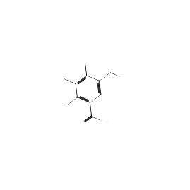 Cc1c(CCl)cc(C(=O)O)c(C)c1C